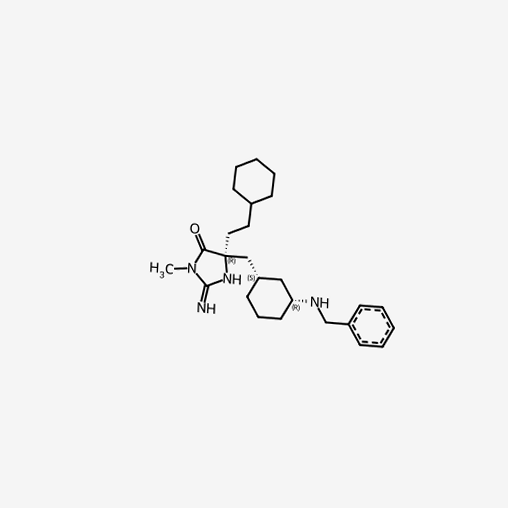 CN1C(=N)N[C@](CCC2CCCCC2)(C[C@H]2CCC[C@@H](NCc3ccccc3)C2)C1=O